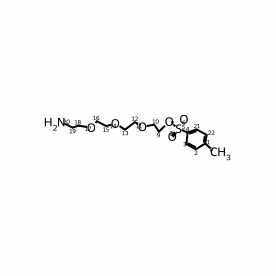 Cc1ccc(S(=O)(=O)OCCOCCOCCOCCN)cc1